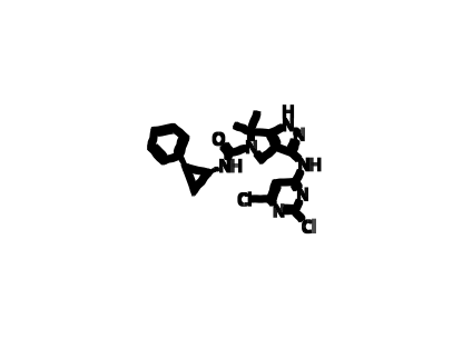 CC1(C)c2[nH]nc(Nc3cc(Cl)nc(Cl)n3)c2CN1C(=O)N[C@@H]1C[C@H]1c1ccccc1